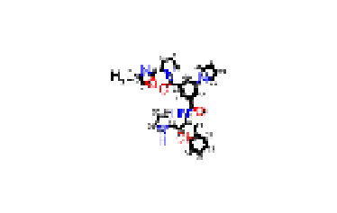 Cc1coc([C@H]2CCCN2C(=O)c2cc(C(=O)N[C@@H](Cc3ccccc3)[C@H](O)[C@H]3CCCN3)cc(-n3cccc3)c2)n1